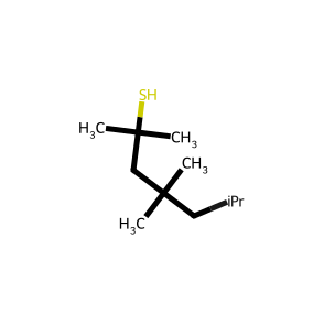 CC(C)CC(C)(C)CC(C)(C)S